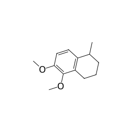 COc1ccc2c(c1OC)CCCC2C